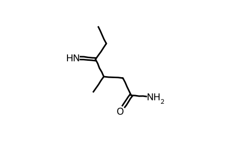 CCC(=N)C(C)CC(N)=O